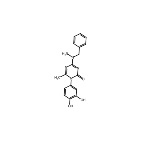 Cc1nc(N(N)Cc2ccccc2)nc(=O)n1-c1ccc(O)c(O)c1